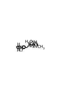 CNc1c(C(=O)NCCc2ccc(N3C[C@H]4CC[C@@H](C3)N4)c(Cl)c2)sc2nc(C)cnc12